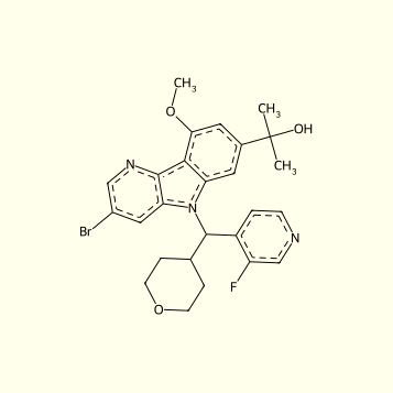 COc1cc(C(C)(C)O)cc2c1c1ncc(Br)cc1n2C(c1ccncc1F)C1CCOCC1